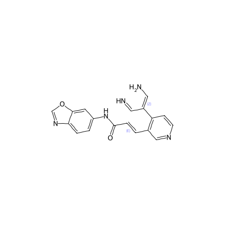 N=C/C(=C\N)c1ccncc1/C=C/C(=O)Nc1ccc2ncoc2c1